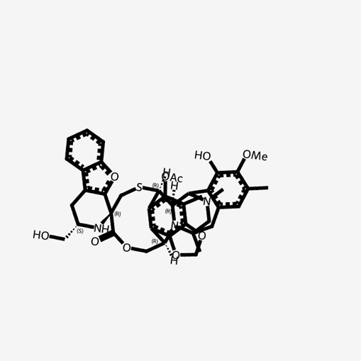 COc1c(C)cc2c(c1O)C1[C@@H]3[C@@H]4SC[C@]5(N[C@H](CO)Cc6c5oc5ccccc65)C(=O)OC[C@@H](c5c6c(c(C)c(OC(C)=O)c54)OCO6)N3C(C)(C2)CN1C